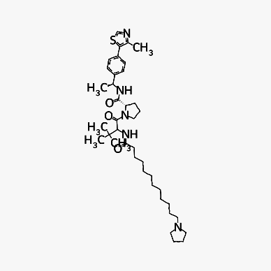 Cc1ncsc1-c1ccc([C@H](C)NC(=O)[C@@H]2CCCN2C(=O)C(NC(=O)CCCCCCCCCCCN2CCCC2)C(C)(C)C)cc1